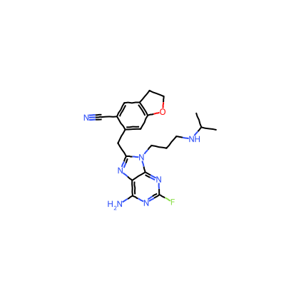 CC(C)NCCCn1c(Cc2cc3c(cc2C#N)CCO3)nc2c(N)nc(F)nc21